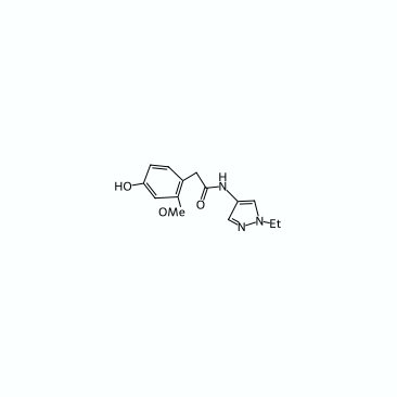 CCn1cc(NC(=O)Cc2ccc(O)cc2OC)cn1